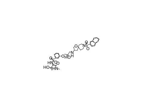 CNC(=O)[C@@H](NS(=O)(=O)c1cccc(OC[C@@H](O)CNC2COC3(CCN(S(=O)(=O)c4ccc5ccccc5c4)CC3)C2)c1)[C@@H](C)O